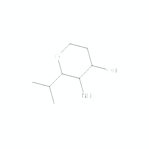 CC(C)C1OCCC(O)C1N